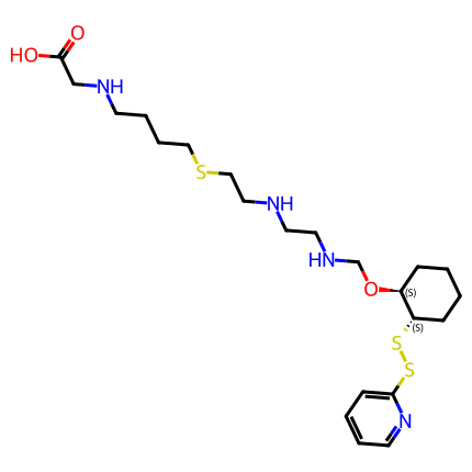 O=C(O)CNCCCCSCCNCCNCO[C@H]1CCCC[C@@H]1SSc1ccccn1